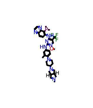 COc1cc(N2CCC(N3C[C@H]4CN(C)C[C@H]4C3)CC2)c(C)cc1Nc1ncc(C(F)(F)F)c(Nc2ccc3nccnc3c2P(C)C)n1